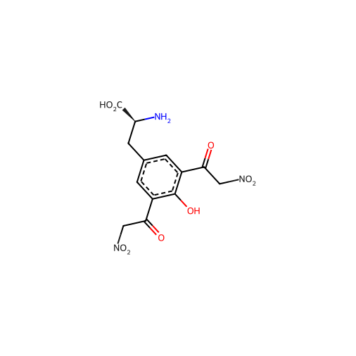 N[C@@H](Cc1cc(C(=O)C[N+](=O)[O-])c(O)c(C(=O)C[N+](=O)[O-])c1)C(=O)O